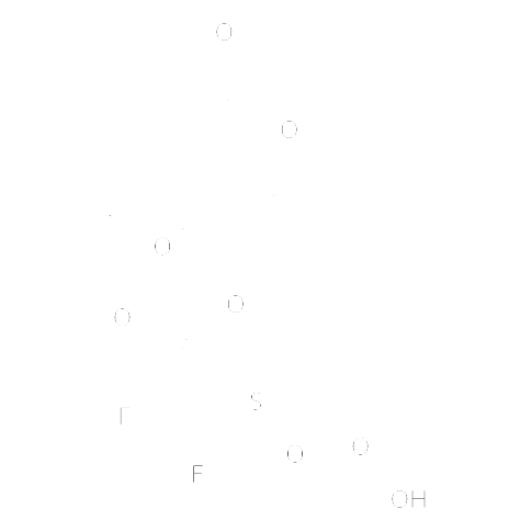 O=C1OC2C(OC(=O)C(F)(F)SOOO)C3CC1C2O3